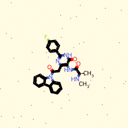 CN[C@@H](C)C(=O)Nc1c(CC(=O)n2c3ccccc3c3ccccc32)nc(-c2ccc(F)cc2)[nH]c1=O